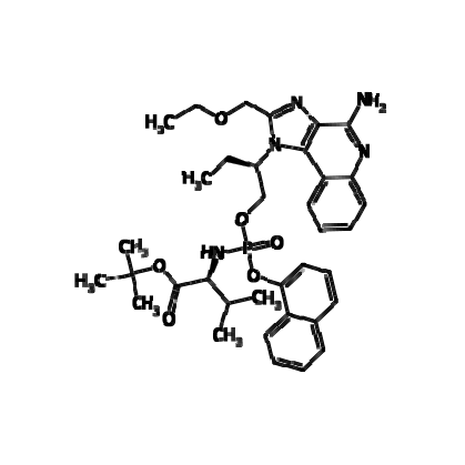 CCOCc1nc2c(N)nc3ccccc3c2n1[C@H](CC)COP(=O)(N[C@H](C(=O)OC(C)(C)C)C(C)C)Oc1cccc2ccccc12